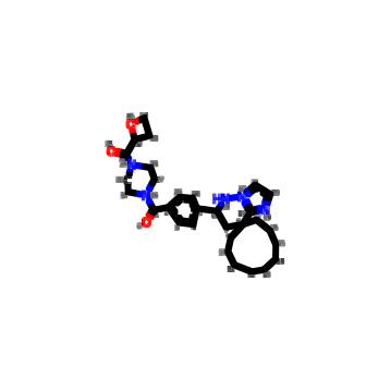 O=C(c1ccc(C2CC3(CCCCCCCCC3)c3nccn3N2)cc1)N1CCN(C(=O)C2CCO2)CC1